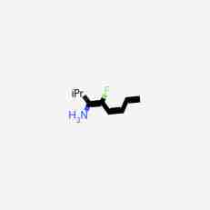 C=C/C=C\C(F)=C(/N)C(C)C